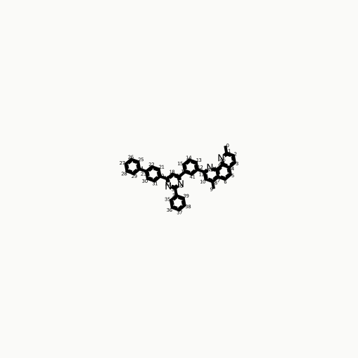 Cc1ccc2ccc3c(C)cc(-c4cccc(-c5cc(-c6ccc(-c7ccccc7)cc6)nc(-c6ccccc6)n5)c4)nc3c2n1